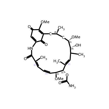 COC1=C2C[C@@H](C)C[C@H](OC)[C@H](O)C(C)/C=C(\C)[C@H](OC(N)=O)[C@@H](OC)/C=C\C=C(/C)C(=O)NC(=CC1=O)C2=O